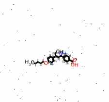 CCCCCOc1ccc(/C(=C/C(=N)c2ccc(C(=O)O)cc2)CC)cc1